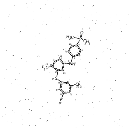 CP(C)(=O)c1ccc(Nc2ncc(C(F)(F)F)c(Sc3cc(F)cc(C(F)(F)F)c3)n2)cc1